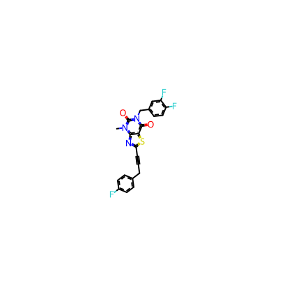 Cn1c(=O)n(Cc2ccc(F)c(F)c2)c(=O)c2sc(C#CCc3ccc(F)cc3)nc21